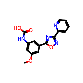 COc1cc(NC(=O)O)cc(-c2nc(-c3ccccn3)no2)c1